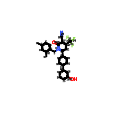 Cc1ccc(Cn2c(-c3ccc(-c4cccc(O)c4)cc3)cc(C(F)(F)F)c(C#N)c2=O)c(C)c1